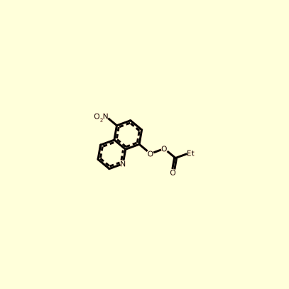 CCC(=O)OOc1ccc([N+](=O)[O-])c2cccnc12